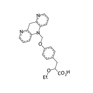 CCOC(Cc1ccc(OCN2c3cccnc3Cc3ncccc32)cc1)C(=O)O